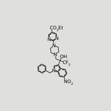 CCOC(=O)c1cnc(N2CCN(CC(O)(c3cn(Cc4ccccc4)c4cc([N+](=O)[O-])ccc34)C(F)(F)F)CC2)nc1